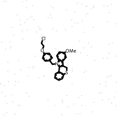 COc1ccc2c(c1)c1c(n2Cc2ccc(OCCCl)cc2)-c2ccccc2SC1